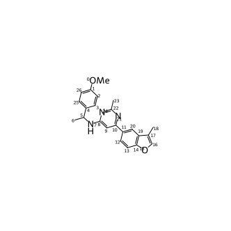 COc1ccc(C(C)Nc2cc(-c3ccc4occ(C)c4c3)nc(C)n2)cc1